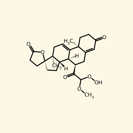 COC(OO)C(=O)[C@@H]1CC2=CC(=O)CC[C@]2(C)C2=CC[C@@]3(C)[C@@H](CC[C@@]34CCC(=O)O4)[C@@H]21